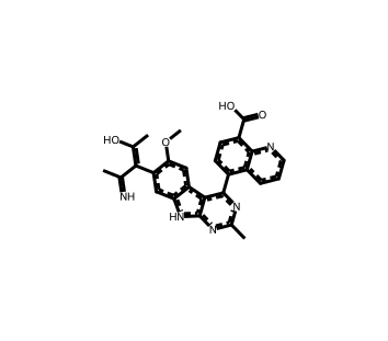 COc1cc2c(cc1/C(C(C)=N)=C(\C)O)[nH]c1nc(C)nc(-c3ccc(C(=O)O)c4ncccc34)c12